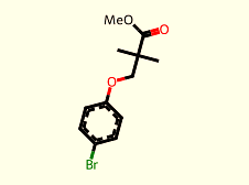 COC(=O)C(C)(C)COc1ccc(Br)cc1